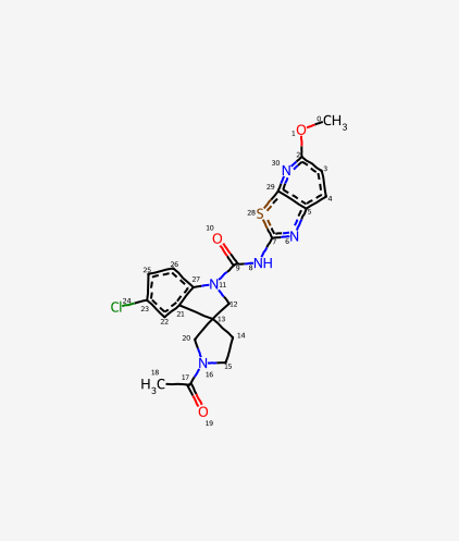 COc1ccc2nc(NC(=O)N3CC4(CCN(C(C)=O)C4)c4cc(Cl)ccc43)sc2n1